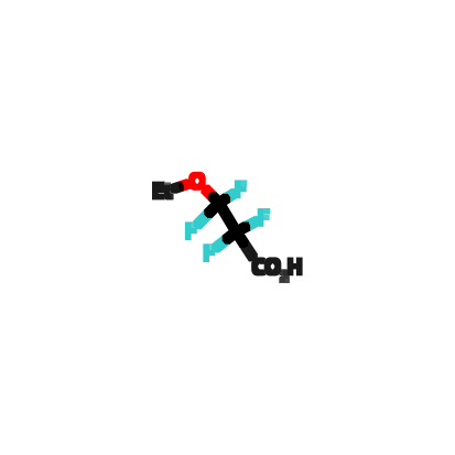 CCOC(F)(F)C(F)(F)C(=O)O